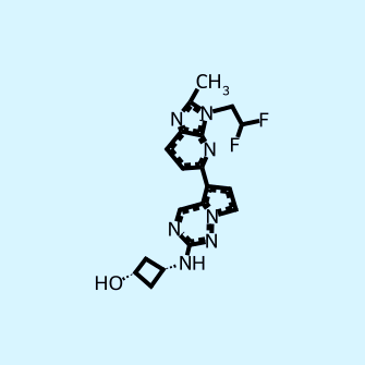 Cc1nc2ccc(-c3ccn4nc(N[C@H]5C[C@@H](O)C5)ncc34)nc2n1CC(F)F